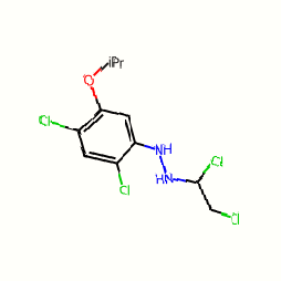 CC(C)Oc1cc(NNC(Cl)CCl)c(Cl)cc1Cl